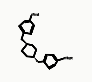 CCCCCCCc1ccc(C[C@H]2CC[C@H](Cc3ccc(CCCCC)cc3)CC2)cc1